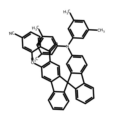 Cc1cc(C)cc(N(c2cc(C)cc(C)c2)c2ccc3c(c2)C2(c4ccccc4-3)c3ccccc3-c3cc4oc5cc(C#N)ccc5c(=O)c4cc32)c1